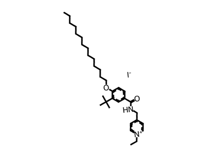 CCCCCCCCCCCCCCOc1ccc(C(=O)NCc2cc[n+](CC)cc2)cc1C(C)(C)C.[I-]